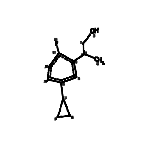 C[C](CO)c1cc(C2CC2)ccc1F